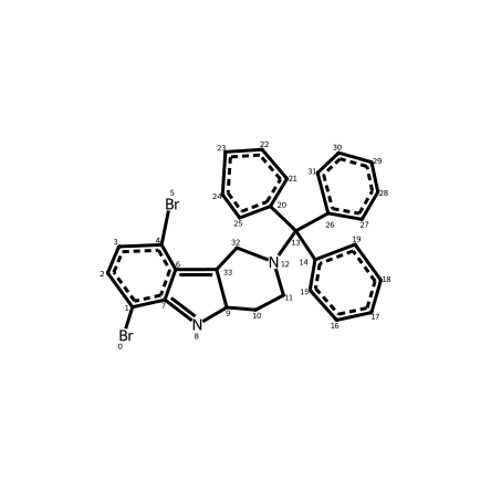 Brc1ccc(Br)c2c1=NC1CCN(C(c3ccccc3)(c3ccccc3)c3ccccc3)CC=21